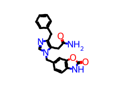 NC(=O)Cc1c(Cc2ccccc2)ncn1Cc1ccc2[nH]c(=O)oc2c1